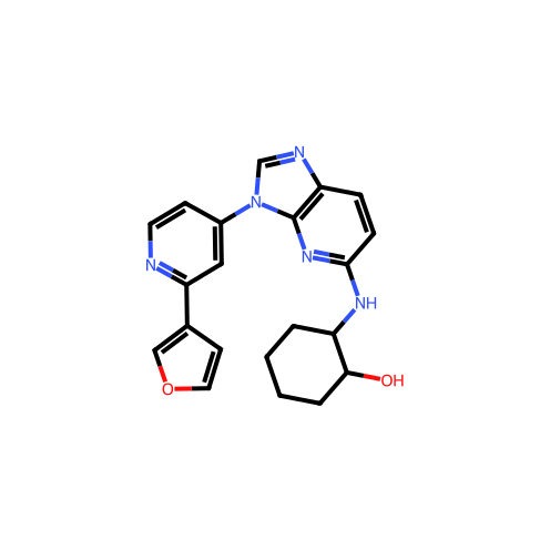 OC1CCCCC1Nc1ccc2ncn(-c3ccnc(-c4ccoc4)c3)c2n1